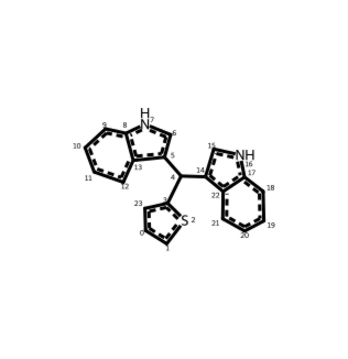 c1csc(C(c2c[nH]c3ccccc23)c2c[nH]c3ccccc23)c1